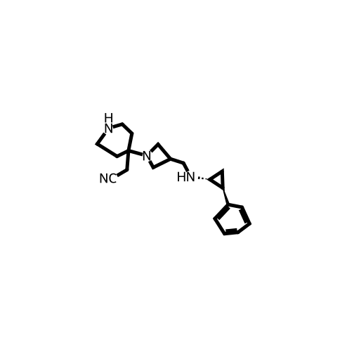 N#CCC1(N2CC(CN[C@@H]3C[C@H]3c3ccccc3)C2)CCNCC1